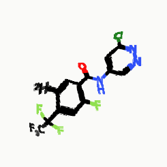 [2H]c1cc(C(=O)Nc2cnnc(Cl)c2)c(F)cc1C(F)(F)C(F)(F)F